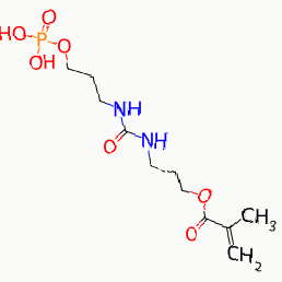 C=C(C)C(=O)OCCCNC(=O)NCCCOP(=O)(O)O